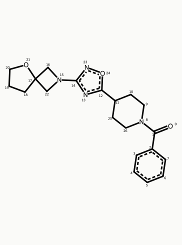 O=C(c1ccccc1)N1CCC(c2nc(N3CC4(CCCO4)C3)no2)CC1